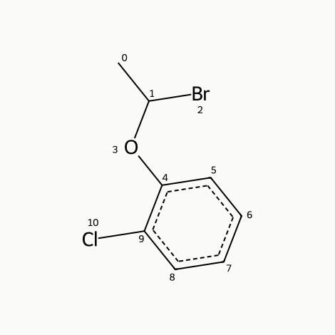 CC(Br)Oc1ccccc1Cl